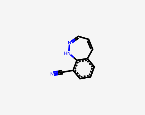 N#Cc1cccc2c1NN=CC=C2